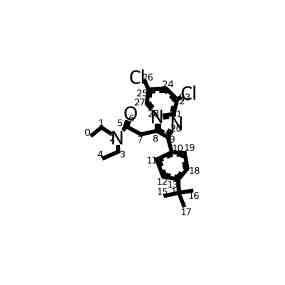 CCN(CC)C(=O)Cc1c(-c2ccc(C(C)(C)C)cc2)nc2c(Cl)cc(Cl)cn12